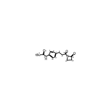 CC(C)(C)C(=O)Nc1ccc(CCC(=O)N2CCC2=O)cc1